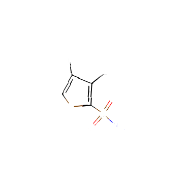 CCc1csc(S(N)(=O)=O)c1CC